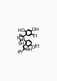 CCOc1ccc(-n2c(S)nnc2-c2cc(CC)c(O)cc2O)c2cc(C(C)C)[nH]c12